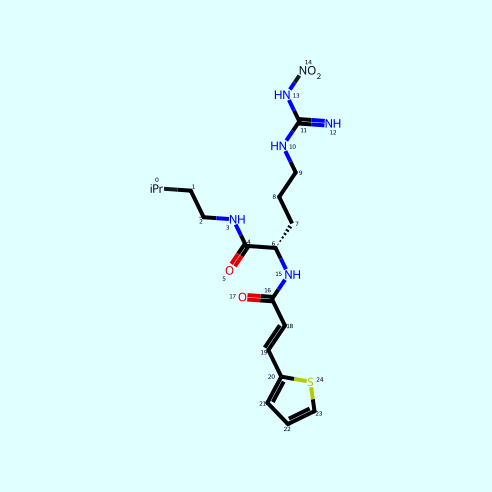 CC(C)C[CH]NC(=O)[C@H](CCCNC(=N)N[N+](=O)[O-])NC(=O)C=Cc1cccs1